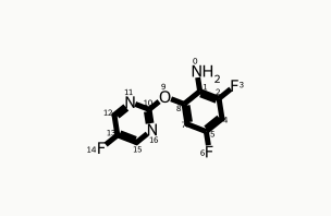 Nc1c(F)cc(F)cc1Oc1ncc(F)cn1